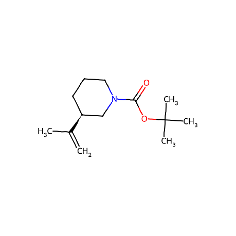 C=C(C)[C@H]1CCCN(C(=O)OC(C)(C)C)C1